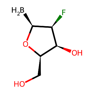 B[C@@H]1O[C@H](CO)[C@H](O)[C@@H]1F